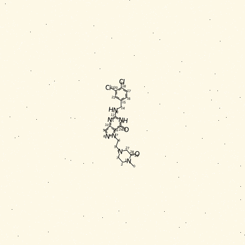 CN1CCN(CCn2ncc3nc(NCc4ccc(Cl)c(Cl)c4)[nH]c(=O)c32)CC1=O